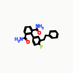 NC(=O)c1cccc(C(N)=O)c1-c1ccc(F)c(CCc2ccccc2)c1